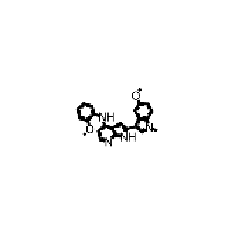 COc1ccc2c(c1)c(-c1cc3c(Nc4ccccc4OC)ccnc3[nH]1)cn2C